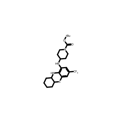 CC(C)(C)OC(=O)N1CCC(Nc2cc(C(F)(F)F)cc3c2NC2CCCCC2S3)CC1